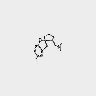 CN(C)C[C@@H]1CCC[C@]12Cc1cc(I)ccc1O2